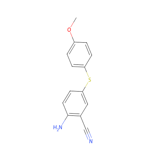 COc1ccc(Sc2ccc(N)c(C#N)c2)cc1